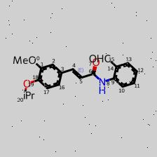 COc1cc(/C=C/C(=O)Nc2ccccc2C=O)ccc1OC(C)C